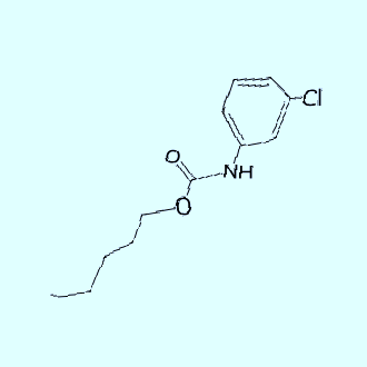 CCCCCOC(=O)Nc1cccc(Cl)c1